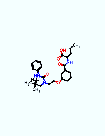 CCCC(NC(=O)C1CCCC(OCCN(CC(C)(C)C)C(=O)Nc2ccccc2)C1)C(=O)O